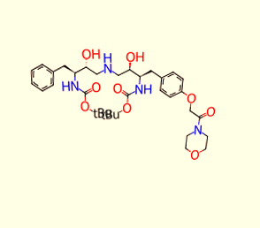 CC(C)(C)OC(=O)N[C@@H](Cc1ccccc1)[C@H](O)CNC[C@@H](O)[C@@H](Cc1ccc(OCC(=O)N2CCOCC2)cc1)NC(=O)OC(C)(C)C